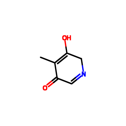 CC1=C(O)CN=CC1=O